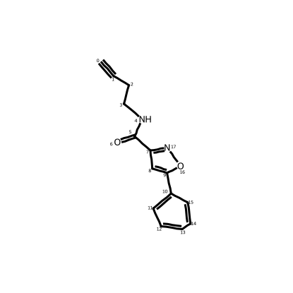 C#CCCNC(=O)c1cc(-c2ccccc2)on1